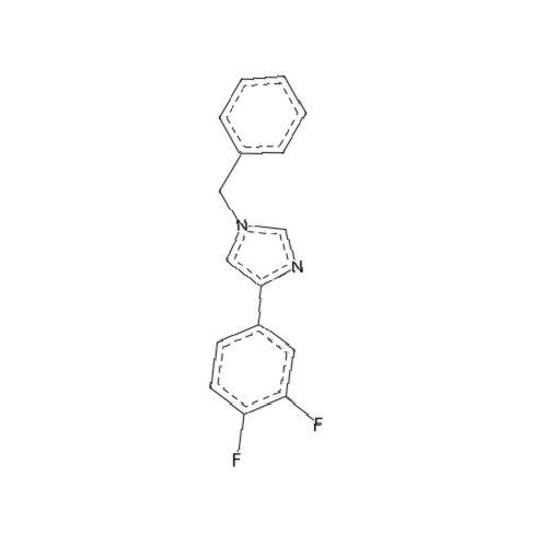 Fc1ccc(-c2cn(Cc3ccccc3)cn2)cc1F